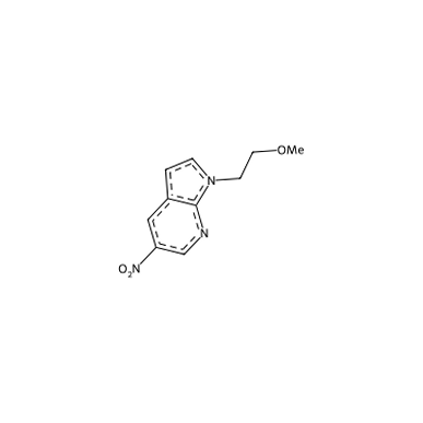 COCCn1ccc2cc([N+](=O)[O-])cnc21